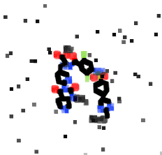 COCc1ncc(-c2ccc(S(=O)(=O)Nc3cc(F)c(C(=O)N[C@@H](Cc4ccc(-n5c(=O)c6ccncc6n(C)c5=O)nc4)C(=O)OC(C)C)cc3F)cc2)cn1